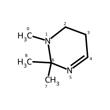 CN1CCC=NC1(C)C